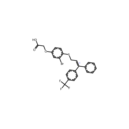 O=C(O)COc1ccc(SC/C=C(/c2ccccc2)c2ccc(C(F)(F)F)cc2)c(Br)c1